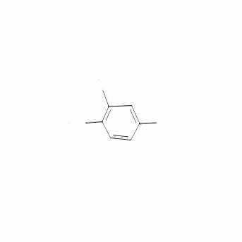 I.O=C(O)c1ccc(C(=O)O)c(C(=O)O)c1